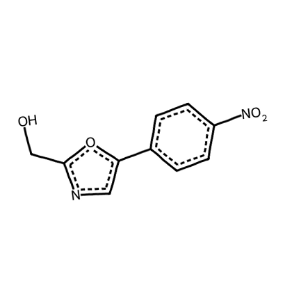 O=[N+]([O-])c1ccc(-c2cnc(CO)o2)cc1